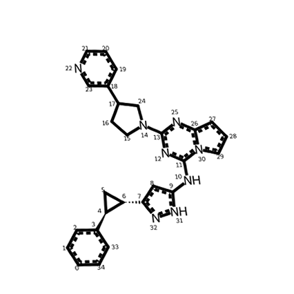 c1ccc([C@H]2C[C@@H]2c2cc(Nc3nc(N4CCC(c5cccnc5)C4)nc4cccn34)[nH]n2)cc1